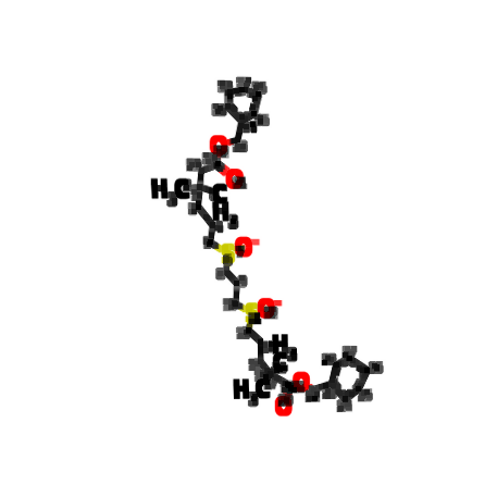 CC(C)(CCC[S+]([O-])CCC[S+]([O-])CCCC(C)(C)C(=O)OCc1ccccc1)CC(=O)OCc1ccccc1